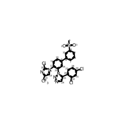 CS(=O)(=O)c1cccc(-c2ccc(-n3cc(C(F)(F)F)nc3Cl)c(-n3nncc3-c3ccc(Cl)cc3Cl)c2)c1